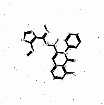 C=Nc1[nH]cnc1/C(=N\C)N[C@@H](C)c1cc2cccc(Cl)c2c(=O)n1-c1ccccc1